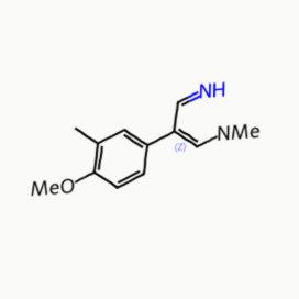 CN/C=C(\C=N)c1ccc(OC)c(C)c1